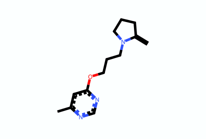 C=C1CCCN1CCCOc1cc(C)ncn1